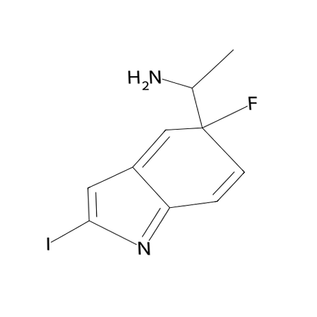 CC(N)C1(F)C=CC2=NC(I)=CC2=C1